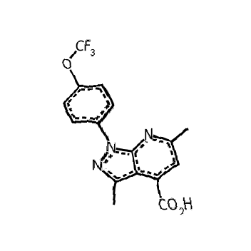 Cc1cc(C(=O)O)c2c(C)nn(-c3ccc(OC(F)(F)F)cc3)c2n1